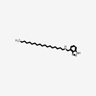 CCCCCCCCCCCCCCCCCCNCc1cccc2[nH]nnc12